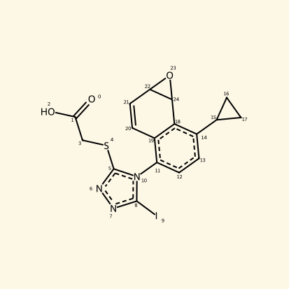 O=C(O)CSc1nnc(I)n1-c1ccc(C2CC2)c2c1C=CC1OC21